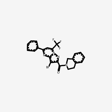 O=C(c1nn2c(C(F)(F)F)cc(-c3ccccc3)nc2c1Br)N1CCc2ccccc2C1